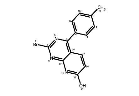 Cc1ccc(-c2nc(Br)nc3nc(O)ccc23)cc1